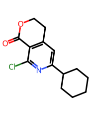 O=C1OCCc2cc(C3CCCCC3)nc(Cl)c21